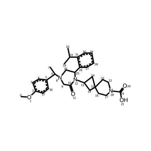 COc1ccc(C(C)N2CC(=O)N(C3CC4(CCN(C(=O)O)CC4)C3)C(c3ccccc3C(C)C)C2)cc1